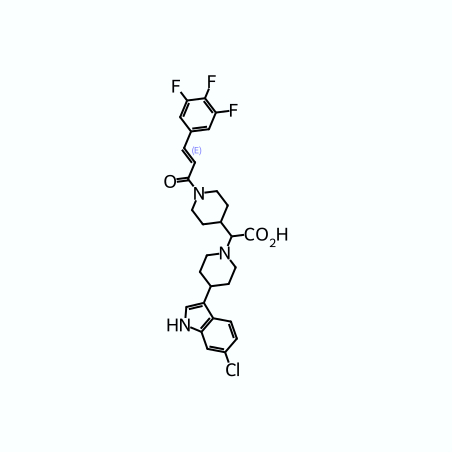 O=C(O)C(C1CCN(C(=O)/C=C/c2cc(F)c(F)c(F)c2)CC1)N1CCC(c2c[nH]c3cc(Cl)ccc23)CC1